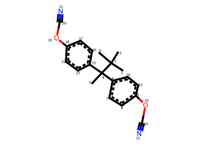 CC(C)(C)C(C)(c1ccc(OC#N)cc1)c1ccc(OC#N)cc1